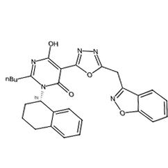 CCCCc1nc(O)c(-c2nnc(Cc3noc4ccccc34)o2)c(=O)n1[C@H]1CCCc2ccccc21